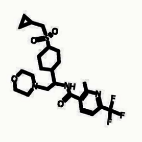 Cc1nc(C(F)(F)F)ccc1C(=O)NC(CN1CCOCC1)C1CCC(S(=O)(=O)CC2CC2)CC1